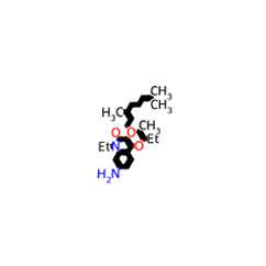 CC=C(CC)Oc1c(OC/C=C(\C)CCC=C(C)C)c(=O)n(CC)c2cc(N)ccc12